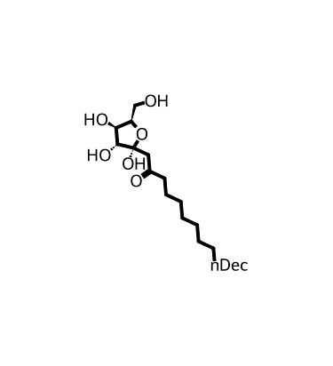 CCCCCCCCCCCCCCCCCC(=O)C[C@]1(O)O[C@H](CO)[C@H](O)[C@H]1O